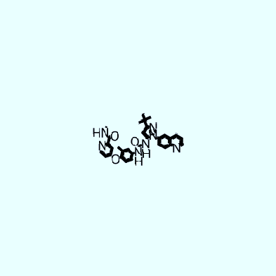 CNC(=O)c1cc(Oc2ccc(NC(=O)Nc3cc(C(C)(C)C)nn3-c3ccc4ncccc4c3)cc2C)ccn1